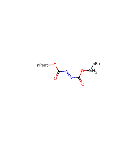 CCCCCOC(=O)/N=N/C(=O)O[SiH2]CCCC